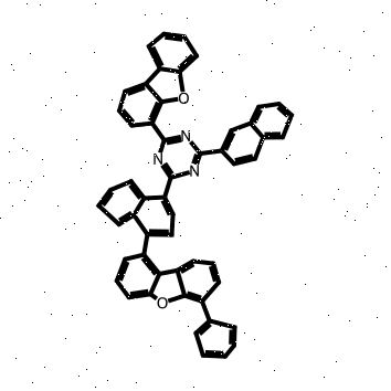 c1ccc(-c2cccc3c2oc2cccc(-c4ccc(-c5nc(-c6ccc7ccccc7c6)nc(-c6cccc7c6oc6ccccc67)n5)c5ccccc45)c23)cc1